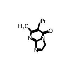 Cc1nc2n(c(=O)c1C(C)C)CC=N2